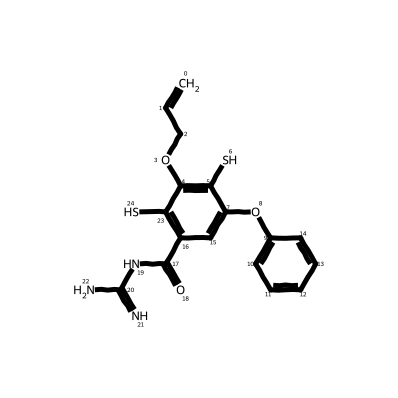 C=CCOc1c(S)c(Oc2ccccc2)cc(C(=O)NC(=N)N)c1S